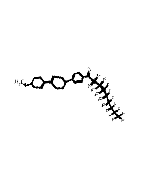 CCC1CCC(C2CCC(c3ccc(C(=O)C(F)(F)C(F)(F)C(F)(F)C(F)(F)C(F)(F)C(F)(F)C(F)(F)C(F)(F)F)cc3)CC2)CC1